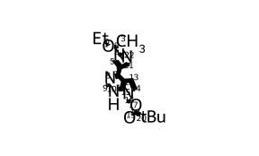 CCOC(C)n1cc(C2=NCNc3c2ccn3COC(=O)C(C)(C)C)cn1